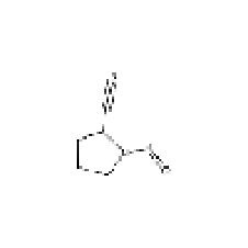 N#CC1CCCN1[C]=O